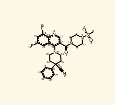 CS(=O)(=O)N1CCN(C(=O)c2cnc3c(F)cc(F)cc3c2N2CCC(C#N)(c3ccccc3)CC2)CC1